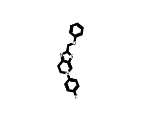 Fc1ccc(N2C=C3SC(COc4ccccc4)N=C3CC2)cc1